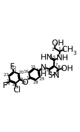 CC(CO)NC(=N)c1c(O)nsc1Nc1ccc(Oc2cc(F)cc(F)c2Cl)cc1